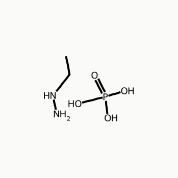 CCNN.O=P(O)(O)O